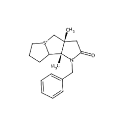 C[C@@]12CC(=O)N(Cc3ccccc3)[C@]1(C)C1CCC[S+]1C2